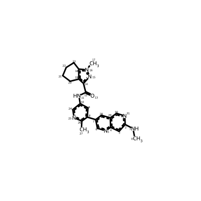 CNc1cc2ncc(-c3cc(NC(=O)c4nn(C)c5c4CCCC5)cnc3C)cc2cn1